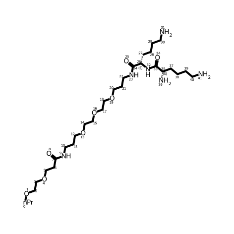 CCCOCCOCCC(=O)NCCCOCCOCCOCCCNC(=O)[C@H](CCCCN)NC(=O)[C@@H](N)CCCCN